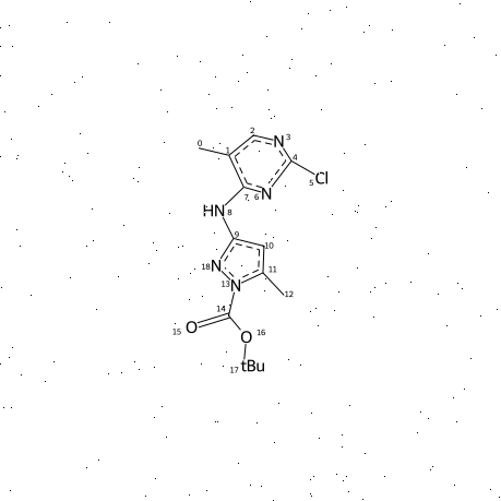 Cc1cnc(Cl)nc1Nc1cc(C)n(C(=O)OC(C)(C)C)n1